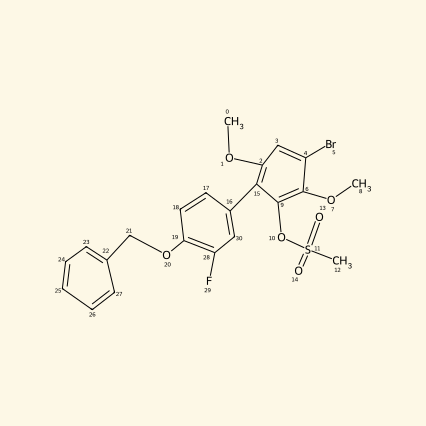 COc1cc(Br)c(OC)c(OS(C)(=O)=O)c1-c1ccc(OCc2ccccc2)c(F)c1